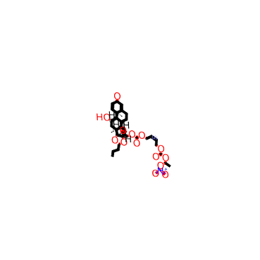 CCCC1O[C@@H]2C[C@H]3[C@@H]4CCC5=CC(=O)C=C[C@]5(C)[C@H]4[C@@H](O)C[C@]3(C)[C@]2(C(=O)COC(=O)OC/C=C\COC(=O)OC(C)O[N+](=O)[O-])O1